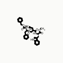 C#CCC(CP(=O)(O)C(Cc1ccccc1)NC(=O)OCc1ccccc1)C(=O)N[C@@H](Cc1c[nH]c2ccccc12)C(=O)OC